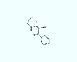 CC(=O)/C(C(=O)c1ccccc1)=C1\CCCCN1